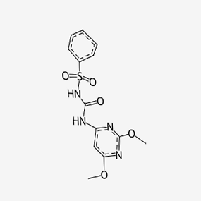 COc1cc(NC(=O)NS(=O)(=O)c2ccccc2)nc(OC)n1